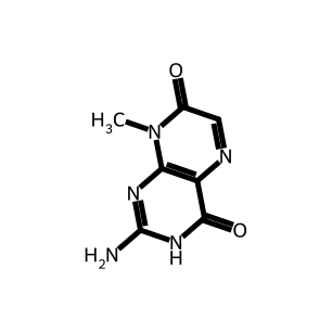 Cn1c(=O)cnc2c(=O)[nH]c(N)nc21